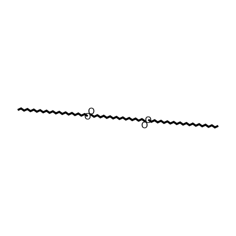 CCCCCCCCCCCCCCCCCCCCCCOC(=O)CCCCCCCCCCCCCCCCC(=O)OCCCCCCCCCCCCCCCCCCCCCC